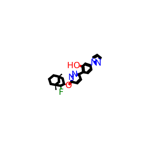 C[C@]12CCC[C@](C)(C1)[C@H](F)[C@H](Oc1ccc(-c3ccc(-n4cccn4)cc3O)nn1)C2